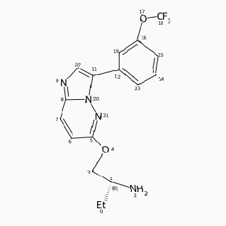 CC[C@@H](N)COc1ccc2ncc(-c3cccc(OC(F)(F)F)c3)n2n1